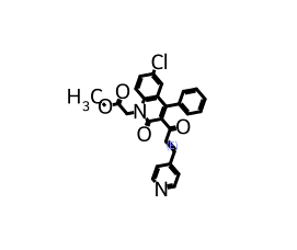 COC(=O)Cn1c(=O)c(C(=O)/C=C/c2ccncc2)c(-c2ccccc2)c2cc(Cl)ccc21